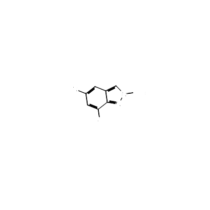 CC(C)(C)n1cc2cc(N)cc(Cl)c2n1